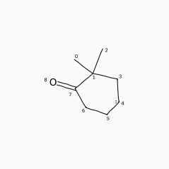 CC1(C)C[C]CCC1=O